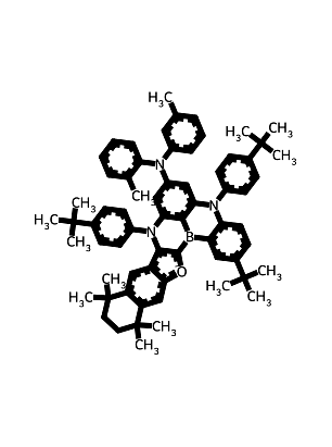 Cc1cccc(N(c2cc3c4c(c2)N(c2ccc(C(C)(C)C)cc2)c2c(oc5cc6c(cc25)C(C)(C)CCC6(C)C)B4c2cc(C(C)(C)C)ccc2N3c2ccc(C(C)(C)C)cc2)c2ccccc2C)c1